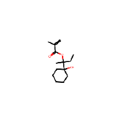 C=C(C)C(=O)OC(C)(CC)C1(O)CCCCC1